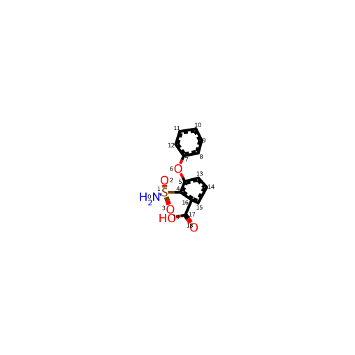 NS(=O)(=O)c1c(Oc2ccccc2)cccc1C(=O)O